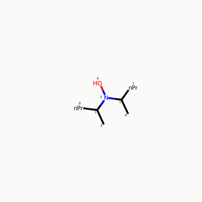 CCCC(C)N(O)C(C)CCC